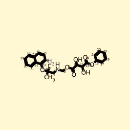 CC(C)(CNCOC(=O)C(O)C(O)C(=O)Oc1ccccc1)Oc1cccc2ccccc12